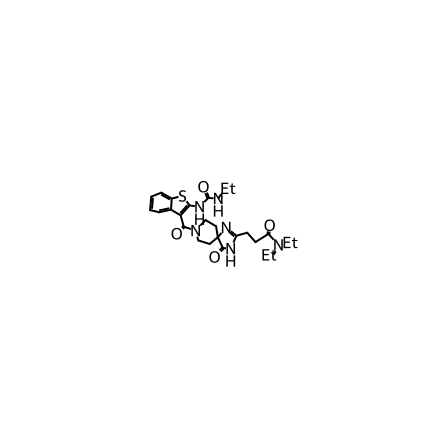 CCNC(=O)Nc1sc2ccccc2c1C(=O)N1CCC2(CC1)N=C(CCC(=O)N(CC)CC)NC2=O